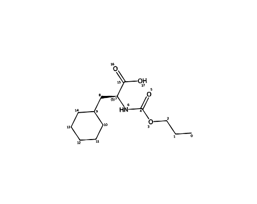 CCCOC(=O)N[C@@H](CC1CCCCC1)C(=O)O